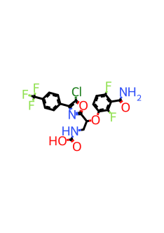 NC(=O)c1c(F)ccc(OC(CNC(=O)O)c2nc(-c3ccc(C(F)(F)F)cc3)c(Cl)o2)c1F